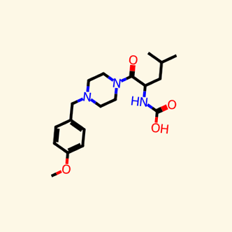 COc1ccc(CN2CCN(C(=O)C(CC(C)C)NC(=O)O)CC2)cc1